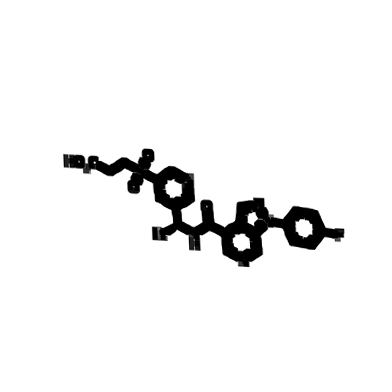 CC[C@H](NC(=O)c1cncc2c1cnn2-c1ccc(F)cc1)c1cncc(S(=O)(=O)CCC(=O)O)c1